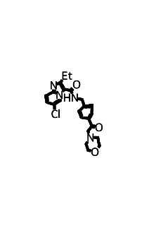 CCc1nc2ccc(Cl)cn2c1C(=O)NCc1ccc(C(=O)CN2CCOCC2)cc1